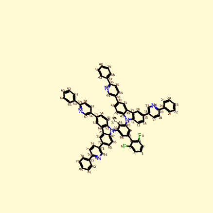 Fc1cccc(F)c1-c1cc(-n2c3ccc(-c4ccc(-c5ccccc5)nc4)cc3c3cc(-c4ccc(-c5ccccc5)nc4)ccc32)c(C(F)(F)F)c(-n2c3ccc(-c4ccc(-c5ccccc5)nc4)cc3c3cc(-c4ccc(-c5ccccc5)nc4)ccc32)c1